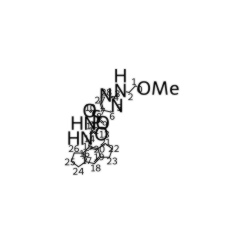 COCCNc1ncc(S(=O)(=O)NC(=O)Nc2c3c(cc4c2CCC4)CCC3)cn1